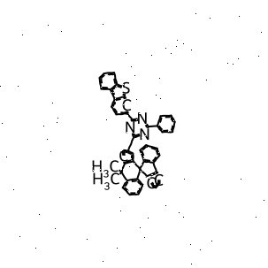 CC1(C)c2ccccc2C2(c3ccccc3-c3ccccc32)c2cc(-c3nc(-c4ccccc4)nc(-c4ccc5c(c4)sc4ccccc45)n3)ccc21